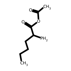 CCCCC(P)C(=O)OC(C)=O